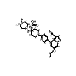 CCOc1cc(-c2ccc(N3CCC(CN4CCN[C@@H](C)C4)(NC(=O)O)CC3)nc2)c2c(C#N)cnn2c1